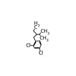 CCC(Cc1ccc(Cl)cc1Cl)C(C)C